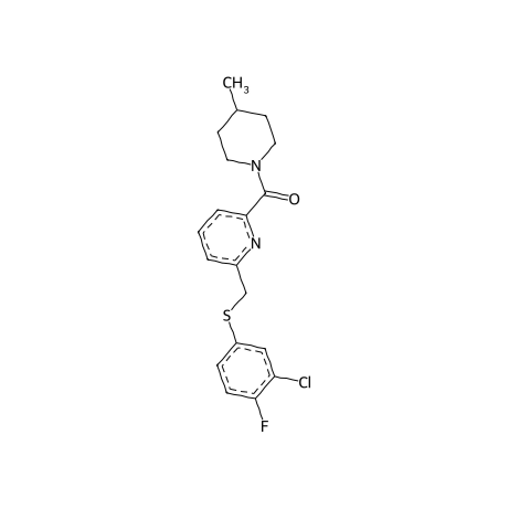 CC1CCN(C(=O)c2cccc(CSc3ccc(F)c(Cl)c3)n2)CC1